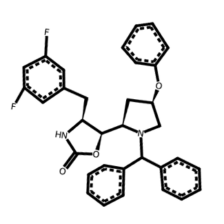 O=C1N[C@@H](Cc2cc(F)cc(F)c2)[C@@H]([C@H]2C[C@@H](Oc3ccccc3)CN2C(c2ccccc2)c2ccccc2)O1